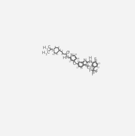 CC(C)N1CCC(CCC(=O)Nc2cc(Oc3ccc4c(c3)nc(Nc3cc(C(F)(F)F)ccc3F)n4C)ccn2)CC1